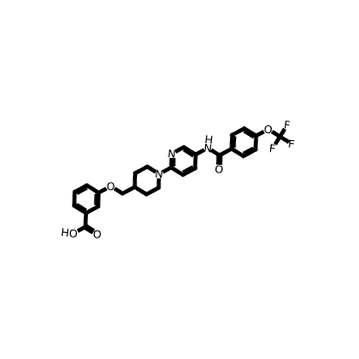 O=C(O)c1cccc(OCC2CCN(c3ccc(NC(=O)c4ccc(OC(F)(F)F)cc4)cn3)CC2)c1